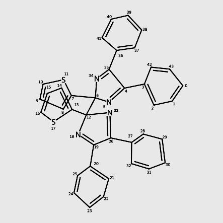 c1ccc(C2=NC(c3cccs3)(C3(c4cccs4)N=C(c4ccccc4)C(c4ccccc4)=N3)N=C2c2ccccc2)cc1